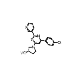 O[C@@H]1CCN(c2cc(-c3ccc(Cl)cc3)nc(-c3cccnc3)n2)C1